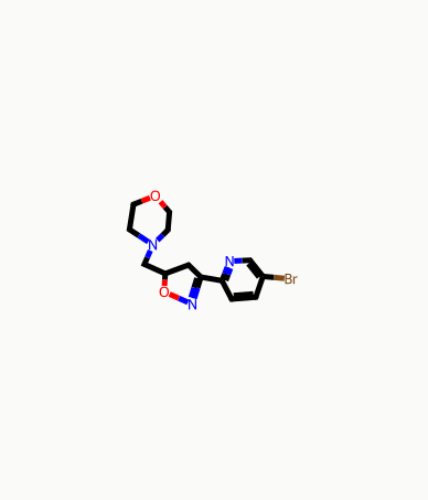 Brc1ccc(C2=NOC(CN3CCOCC3)C2)nc1